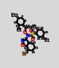 CCc1ccc(CON(c2noc3c(Br)cccc23)S(=O)(=O)c2cc(CC)ccc2OC)c(CC)c1